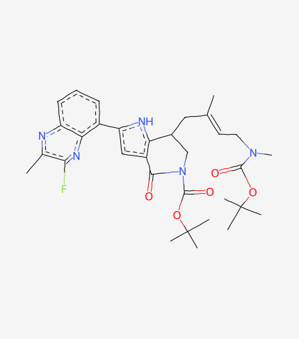 CC(=CCN(C)C(=O)OC(C)(C)C)CC1CN(C(=O)OC(C)(C)C)C(=O)c2cc(-c3cccc4nc(C)c(F)nc34)[nH]c21